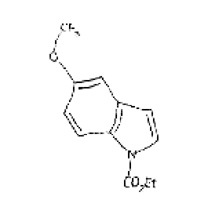 CCOC(=O)n1ccc2cc(OC(F)(F)F)ccc21